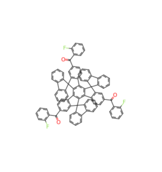 O=C(c1ccc2c(c1)C1(c3ccccc3-c3ccccc31)c1c-2c2c(c3c1-c1ccc(C(=O)c4ccccc4F)cc1C31c3ccccc3-c3ccccc31)-c1ccc(C(=O)c3ccccc3F)cc1C21c2ccccc2-c2ccccc21)c1ccccc1F